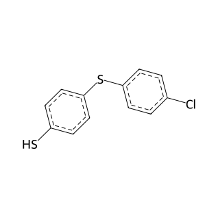 Sc1ccc(Sc2ccc(Cl)cc2)cc1